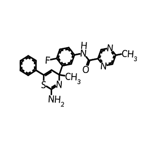 Cc1cnc(C(=O)Nc2ccc(F)c(C3(C)C=C(c4ccccc4)SC(N)=N3)c2)cn1